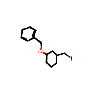 ICC1CCCC(OCC2=CCCC=C2)C1